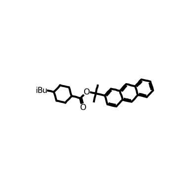 CCC(C)C1CCC(C(=O)OC(C)(C)c2ccc3cc4ccccc4cc3c2)CC1